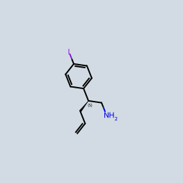 C=CC[C@H](CN)c1ccc(I)cc1